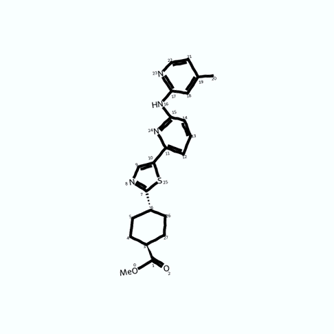 COC(=O)[C@H]1CC[C@H](c2ncc(-c3cccc(Nc4cc(C)ccn4)n3)s2)CC1